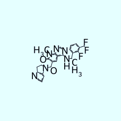 C[C@@H](Nc1ncnc2c1cc(C(=O)N1CCc3ncccc31)c(=O)n2C)c1cccc(C(F)F)c1F